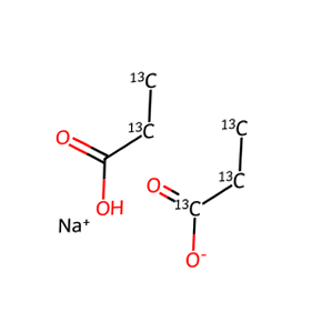 [13CH3][13CH2]C(=O)O.[13CH3][13CH2][13C](=O)[O-].[Na+]